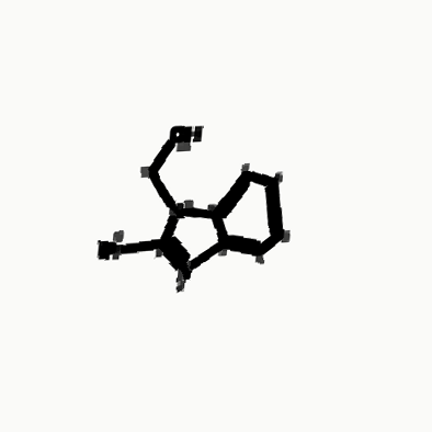 CC(C)c1nc2ccccc2n1CO